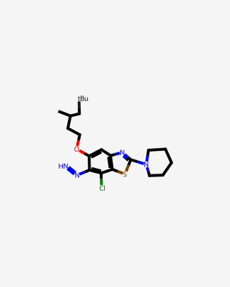 CC(CCOc1cc2nc(N3CCCCC3)sc2c(Cl)c1N=N)CC(C)(C)C